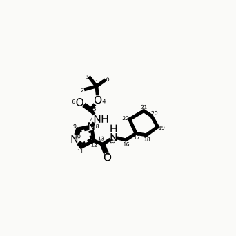 CC(C)(C)OC(=O)Nn1cncc1C(=O)NCC1CCCCC1